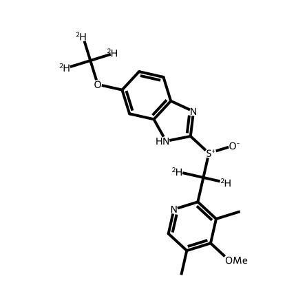 [2H]C([2H])([2H])Oc1ccc2nc([S+]([O-])C([2H])([2H])c3ncc(C)c(OC)c3C)[nH]c2c1